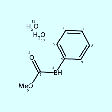 COC(=O)Bc1ccccc1.O.O